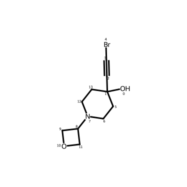 OC1(C#CBr)CCN(C2COC2)CC1